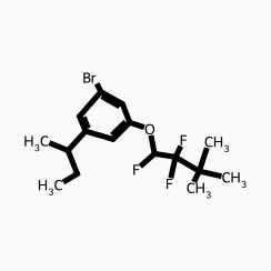 CCC(C)c1cc(Br)cc(OC(F)C(F)(F)C(C)(C)C)c1